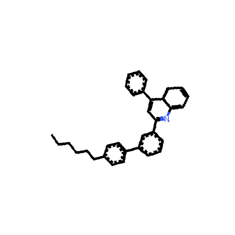 CCCCCCc1ccc(-c2cccc(C3=NC4=CC=CCC4C(c4ccccc4)=C3)c2)cc1